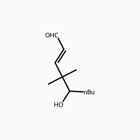 CCCCC(O)C(C)(C)C=CC=O